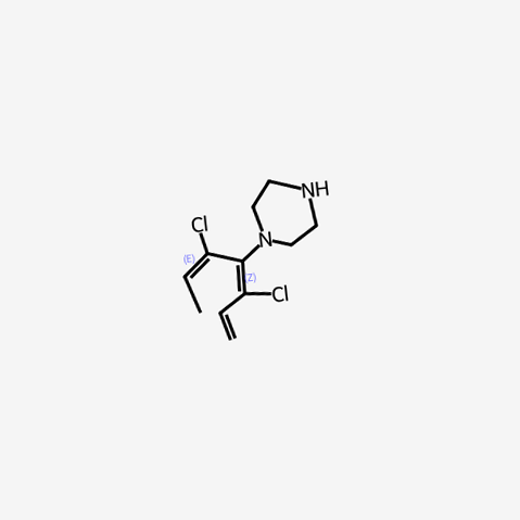 C=C/C(Cl)=C(\C(Cl)=C/C)N1CCNCC1